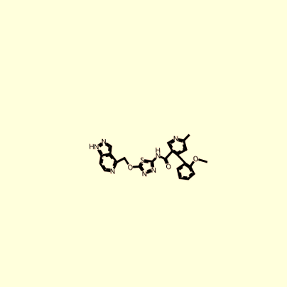 COc1ccccc1-c1cc(C)ncc1C(=O)Nc1nnc(OCc2nccc3[nH]ncc23)s1